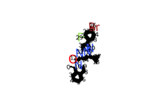 C[C@@H]1c2ccccc2CCN1C(=O)c1cc(C2CC2)n2nc(-c3ccc(Br)cc3F)cc2n1